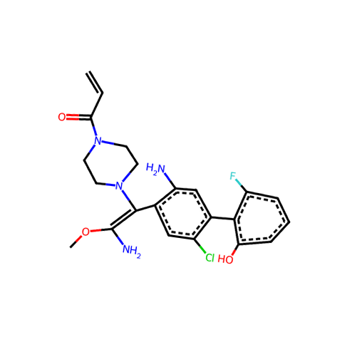 C=CC(=O)N1CCN(/C(=C(/N)OC)c2cc(Cl)c(-c3c(O)cccc3F)cc2N)CC1